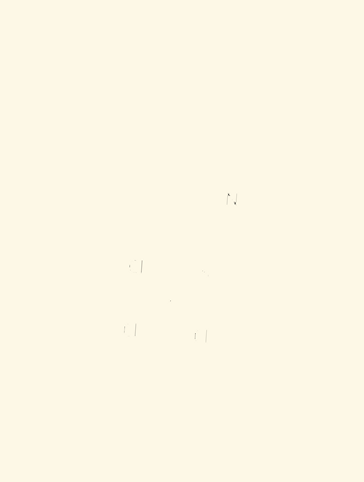 ClC(Cl)(Cl)Sc1ccccn1